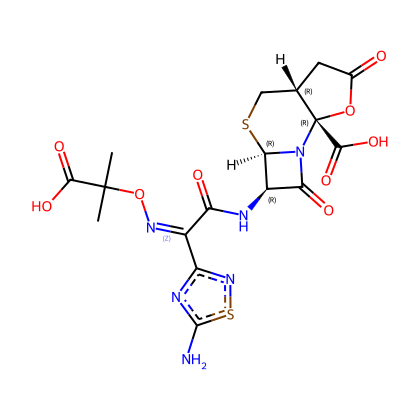 CC(C)(O/N=C(\C(=O)N[C@@H]1C(=O)N2[C@@H]1SC[C@@H]1CC(=O)O[C@@]12C(=O)O)c1nsc(N)n1)C(=O)O